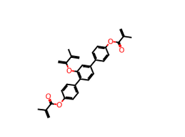 C=C(C)C(=C)Oc1cc(-c2ccc(OC(=O)C(=C)C)cc2)ccc1-c1ccc(OC(=O)C(=C)C)cc1